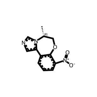 C[C@@H]1COc2c(cccc2[N+](=O)[O-])-c2cncn21